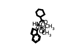 C[Si](C)=[Zr]([Cl])([Cl])([NH]C(=O)C1CCCCC1)[CH]1C=Cc2ccccc21